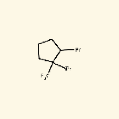 CC(C)C1CCCC1(C(C)C)C(F)(F)F